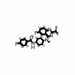 CN(c1nc(C(F)F)nc2ccc(F)cc12)[C@H]1CC[C@@H](NC(=O)c2ccc(F)cc2)CC1